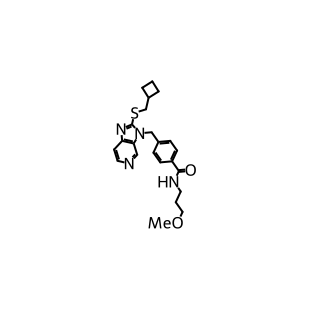 COCCCNC(=O)c1ccc(Cn2c(SCC3CCC3)nc3ccncc32)cc1